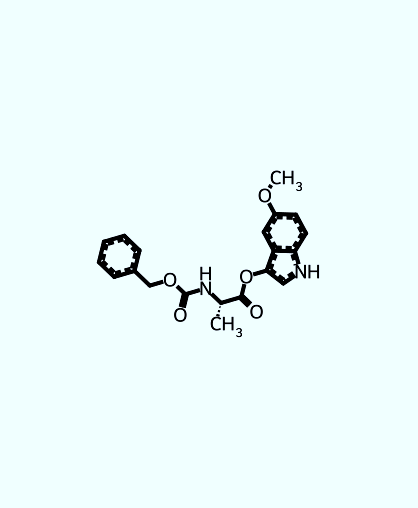 COc1ccc2[nH]cc(OC(=O)[C@H](C)NC(=O)OCc3ccccc3)c2c1